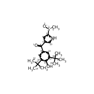 C[S+]([O-])c1cc(C(=O)c2cc(C(C)(C)C)c(O)c(C(C)(C)C)c2)c[nH]1